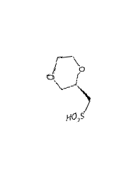 O=S(=O)(O)C[C@H]1COCCO1